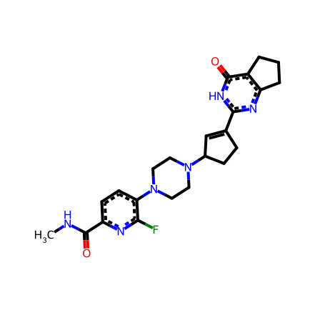 CNC(=O)c1ccc(N2CCN(C3C=C(c4nc5c(c(=O)[nH]4)CCC5)CC3)CC2)c(F)n1